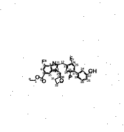 CCOC(=O)c1cc(F)c2nc(Cc3cc(F)c(-c4cccc(O)c4)cc3F)n(C[C@@H]3CCO3)c2c1